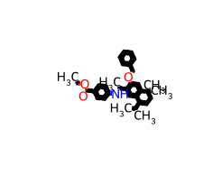 CCOC(=O)c1ccc(NC(C)c2cc3c(cc2OCc2ccccc2)C(C)(C)CC=C3C(C)C)cc1